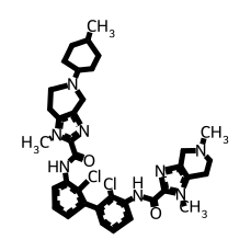 CC1CCC(N2CCc3c(nc(C(=O)Nc4cccc(-c5cccc(NC(=O)c6nc7c(n6C)CCN(C)C7)c5Cl)c4Cl)n3C)C2)CC1